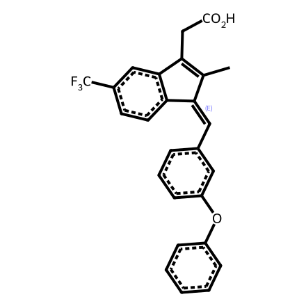 CC1=C(CC(=O)O)c2cc(C(F)(F)F)ccc2/C1=C\c1cccc(Oc2ccccc2)c1